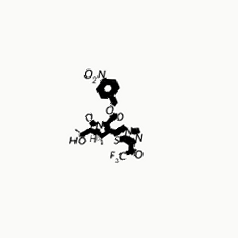 C[C@@H](O)[C@H]1C(=O)N2C(C(=O)OCc3ccc([N+](=O)[O-])cc3)=C(c3cn4cnc(C(=O)C(F)(F)F)c4s3)[C@H](C)[C@H]12